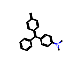 C=c1ccc(=C(c2ccccc2)c2ccc(N(C)C)cc2)cc1